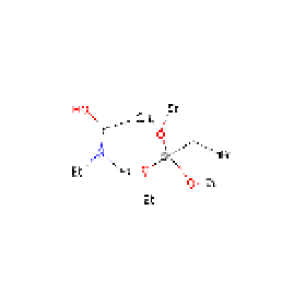 CCN(CC)C(C)O.CCO[Si](CC(C)C)(OCC)OCC